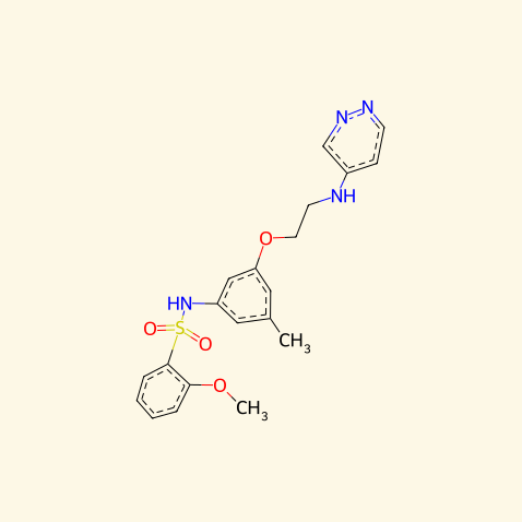 COc1ccccc1S(=O)(=O)Nc1cc(C)cc(OCCNc2ccnnc2)c1